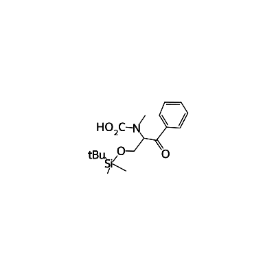 CN(C(=O)O)C(CO[Si](C)(C)C(C)(C)C)C(=O)c1ccccc1